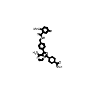 CNC(=O)C1CCC(c2nc(-c3ccc(CNC(=O)c4cc(F)ccc4OC)cc3)c3c(N)nccn23)CC1